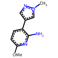 COc1ccc(-c2cnn(C)c2)c(N)n1